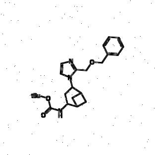 CC(C)(C)OC(=O)NC1CC(n2ccnc2COCc2ccccc2)C2CC1C2